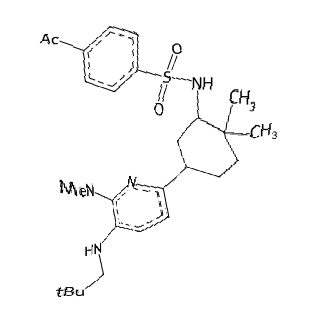 CNc1nc(C2CCC(C)(C)C(NS(=O)(=O)c3ccc(C(C)=O)cc3)C2)ccc1NCC(C)(C)C